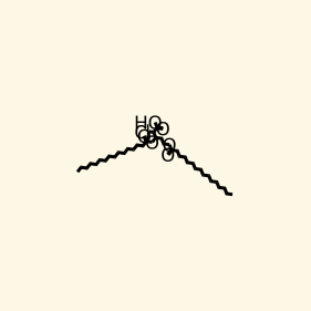 CCCCCCCCCCCCCCCC(=O)OCCC(OC(=O)CCCCCCCCCCCCCCC)C(Cl)C(=O)O